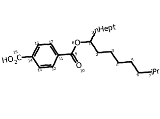 CCCCCCCC(CCCCCC(C)C)OC(=O)c1ccc(C(=O)O)cc1